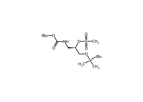 CC(C)(C)OC(=O)NC[C@H](CO[Si](C)(C)C(C)(C)C)OS(C)(=O)=O